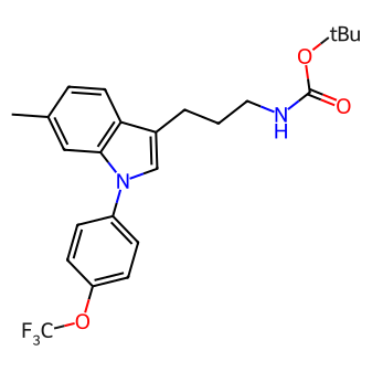 Cc1ccc2c(CCCNC(=O)OC(C)(C)C)cn(-c3ccc(OC(F)(F)F)cc3)c2c1